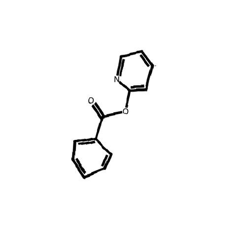 O=C(Oc1c[c]ccn1)c1ccccc1